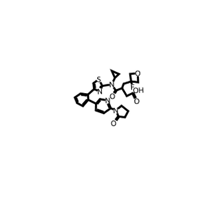 O=C(O)CC(CC1(F)COC1)C(=O)N(c1nc(-c2ccccc2-c2ccc(N3CCCC3=O)nc2)cs1)C1CC1